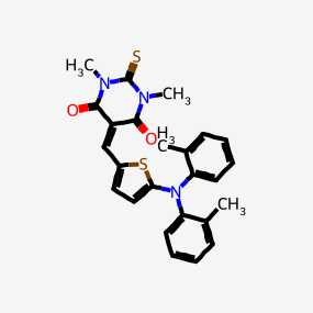 Cc1ccccc1N(c1ccc(C=C2C(=O)N(C)C(=S)N(C)C2=O)s1)c1ccccc1C